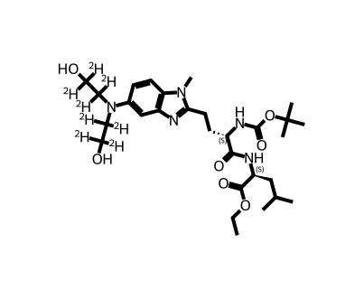 [2H]C([2H])(O)C([2H])([2H])N(c1ccc2c(c1)nc(CC[C@H](NC(=O)OC(C)(C)C)C(=O)N[C@@H](CC(C)C)C(=O)OCC)n2C)C([2H])([2H])C([2H])([2H])O